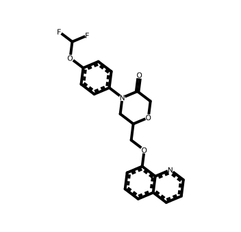 O=C1COC(COc2cccc3cccnc23)CN1c1ccc(OC(F)F)cc1